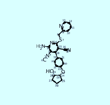 [C-]#[N+]c1c(N)nc(SCc2ccccn2)c(C#N)c1-c1ccc(O[C@H]2CCC[C@@H]2O)cc1